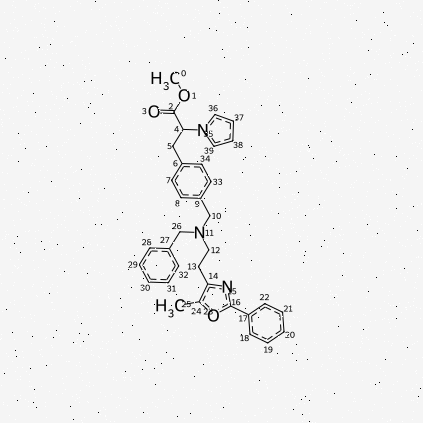 COC(=O)C(Cc1ccc(CN(CCc2nc(-c3ccccc3)oc2C)Cc2ccccc2)cc1)n1cccc1